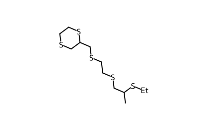 CCSC(C)CSCCSCC1CSCCS1